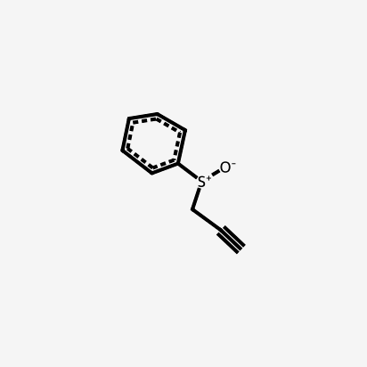 C#CC[S+]([O-])c1ccccc1